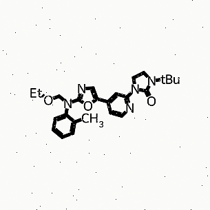 CCOCN(c1ncc(-c2ccnc(N3CCN(C(C)(C)C)C3=O)c2)o1)c1ccccc1C